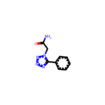 NC(=O)Cn1nnnc1-c1ccccc1